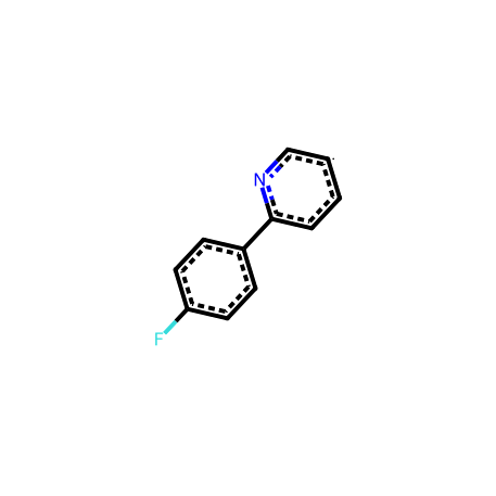 Fc1ccc(-c2cc[c]cn2)cc1